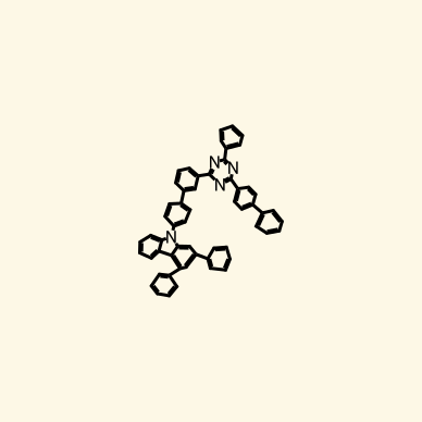 c1ccc(-c2ccc(-c3nc(-c4ccccc4)nc(-c4cccc(-c5ccc(-n6c7ccccc7c7c(-c8ccccc8)cc(-c8ccccc8)cc76)cc5)c4)n3)cc2)cc1